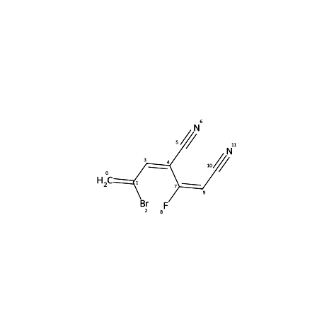 C=C(Br)/C=C(C#N)\C(F)=C/C#N